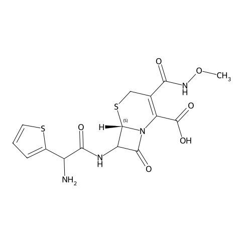 CONC(=O)C1=C(C(=O)O)N2C(=O)C(NC(=O)C(N)c3cccs3)[C@@H]2SC1